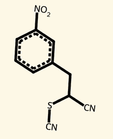 N#CSC(C#N)Cc1cccc([N+](=O)[O-])c1